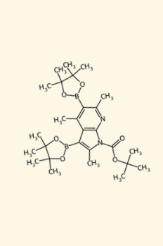 Cc1nc2c(c(C)c1B1OC(C)(C)C(C)(C)O1)c(B1OC(C)(C)C(C)(C)O1)c(C)n2C(=O)OC(C)(C)C